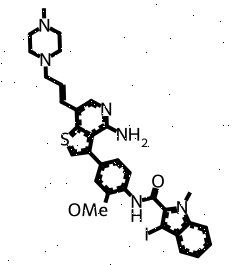 COc1cc(-c2csc3c(C=CCN4CCN(C)CC4)cnc(N)c23)ccc1NC(=O)c1c(I)c2ccccc2n1C